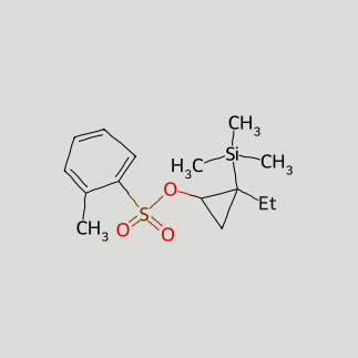 CCC1([Si](C)(C)C)CC1OS(=O)(=O)c1ccccc1C